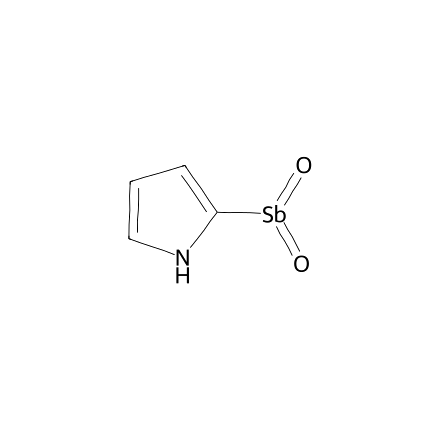 [O]=[Sb](=[O])[c]1ccc[nH]1